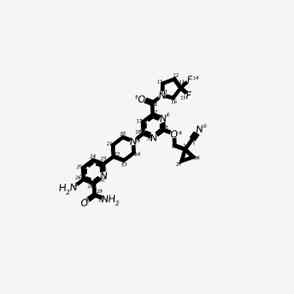 N#CC1(COc2nc(C(=O)N3CCC(F)(F)C3)cc(N3CCC(c4ccc(N)c(C(N)=O)n4)CC3)n2)CC1